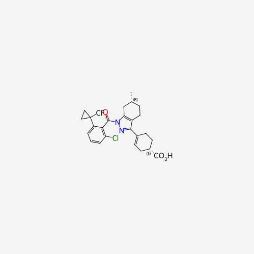 C[C@@H]1CCc2c(C3=CC[C@@H](C(=O)O)CC3)nn(C(=O)c3c(Cl)cccc3C3(C(F)(F)F)CC3)c2C1